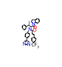 O=C(C(C(I)c1ccccc1)N(Cc1ccc(-c2cncnc2)cc1)C(=O)C=Cc1ccc(C(F)(F)F)cc1)N1CCc2ccccc21